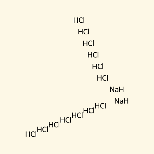 Cl.Cl.Cl.Cl.Cl.Cl.Cl.Cl.Cl.Cl.Cl.Cl.Cl.[NaH].[NaH]